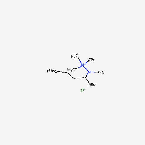 CCCCCCCCCCCCC(CCCC)N(C)[N+](C)(C)CCC.[Cl-]